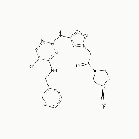 N#C[C@@H]1CCN(C(=O)Cn2cc(Nc3ncc(Cl)c(NCc4ccccc4)n3)cn2)C1